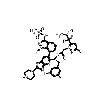 CC(C)[C@@H](C)C(F)(F)c1cc(C(F)(F)F)nn1CC(=O)N[C@@H](Cc1cc(F)cc(F)c1)c1nc2nc(N3CCNCC3)sc2cc1-c1cccc2c(NS(C)(=O)=O)nn(C)c12